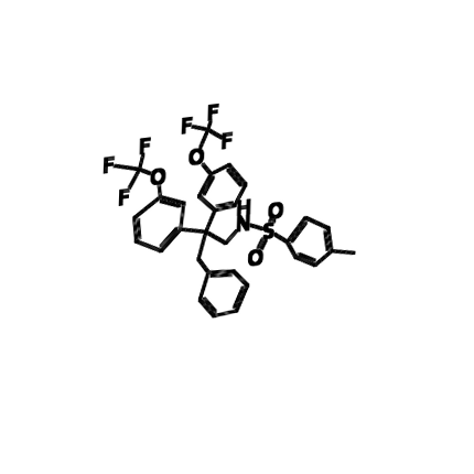 Cc1ccc(S(=O)(=O)NCC(Cc2ccccc2)(c2cccc(OC(F)(F)F)c2)c2cccc(OC(F)(F)F)c2)cc1